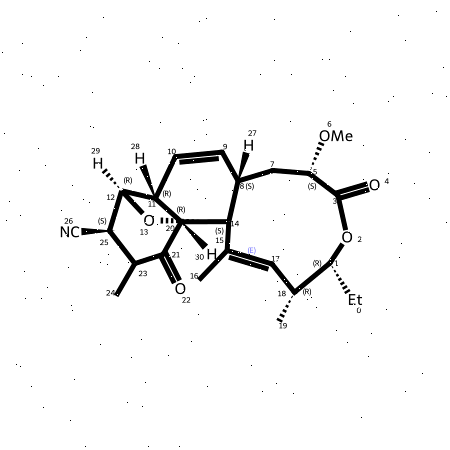 CC[C@H]1OC(=O)[C@@H](OC)C[C@H]2C=C[C@H]3[C@H]4O[C@]2(/C(C)=C/[C@H]1C)[C@@H]3C(=O)C(C)[C@H]4C#N